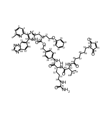 Cc1cccc(-c2nc(CN(CCOc3ccccc3)C(=O)OCc3ccc(NC(=O)[C@H](CCCNC(N)=O)NC(=O)C(NC(=O)CCCCCN4C(=O)C=CC4=O)C(C)C)cc3)[nH]c2-c2ccc3ncnn3c2)n1